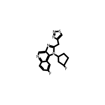 Fc1ccc2ncc3nc(Cc4csnn4)n(C4CCC(F)C4)c3c2c1